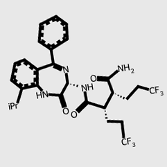 CC(C)c1cccc2c1NC(=O)[C@@H](NC(=O)[C@@H](CCC(F)(F)F)[C@@H](CCC(F)(F)F)C(N)=O)N=C2c1ccccc1